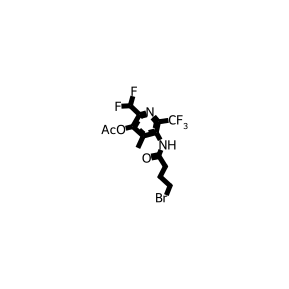 CC(=O)Oc1c(C(F)F)nc(C(F)(F)F)c(NC(=O)CCCBr)c1C